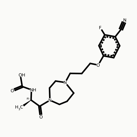 C[C@@H](NC(=O)O)C(=O)N1CCCN(CCCOc2ccc(C#N)c(F)c2)CC1